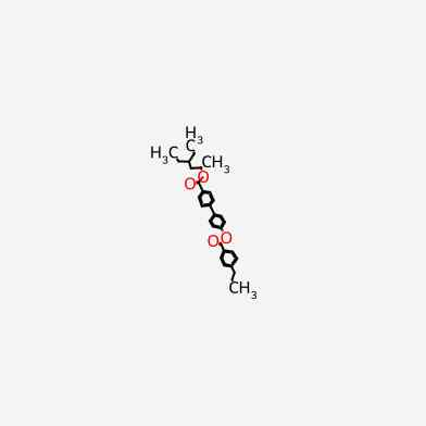 CCCc1ccc(C(=O)Oc2ccc(-c3ccc(C(=O)O[C@H](C)CC(CC)CC)cc3)cc2)cc1